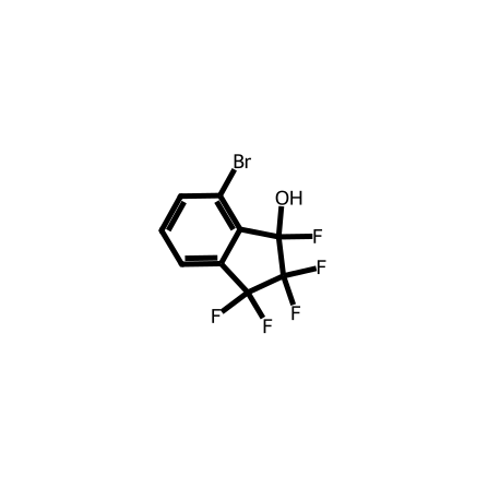 OC1(F)c2c(Br)cccc2C(F)(F)C1(F)F